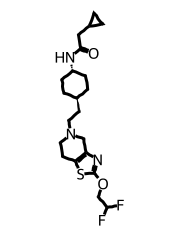 O=C(CC1CC1)N[C@H]1CC[C@H](CCN2CCc3sc(OCC(F)F)nc3C2)CC1